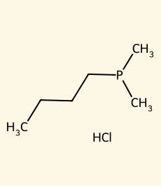 CCCCP(C)C.Cl